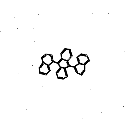 [c]1ccc2c(-c3cccc4ccccc34)c3ccccc3c(-c3cccc4ccccc34)c2c1